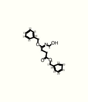 O=C(CCC(=NCO)OCc1ccccc1)OCc1ccccc1